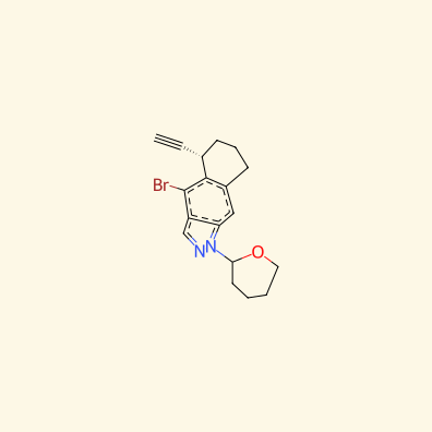 C#C[C@@H]1CCCc2cc3c(cnn3C3CCCCO3)c(Br)c21